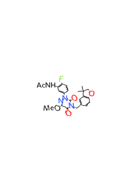 COc1nn(-c2ccc(F)c(NC(C)=O)c2)c(=O)n(Cc2ccc3c(c2)C(C)(C)CO3)c1=O